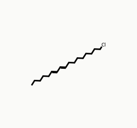 CCCCCC=CC=CCCCCCCCCCl